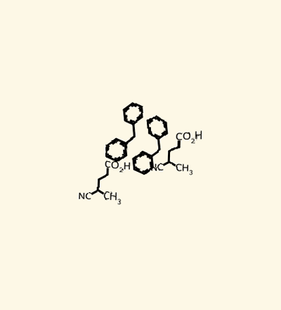 CC(C#N)CCC(=O)O.CC(C#N)CCC(=O)O.c1ccc(Cc2ccccc2)cc1.c1ccc(Cc2ccccc2)cc1